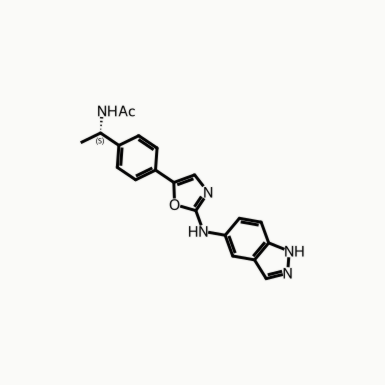 CC(=O)N[C@@H](C)c1ccc(-c2cnc(Nc3ccc4[nH]ncc4c3)o2)cc1